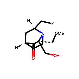 COC[C@]1(CO)C(=O)[C@H]2CCN1[C@H](CC(C)C)C2